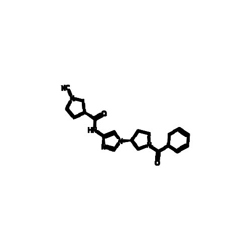 N#CN1CC[C@H](C(=O)Nc2cn([C@H]3CCN(C(=O)C4C=CC=CC4)C3)cn2)C1